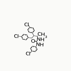 CC(NC(=O)Nc1ccc(Cl)cc1)C(Cc1ccc(Cl)cc1)c1ccc(Cl)cc1